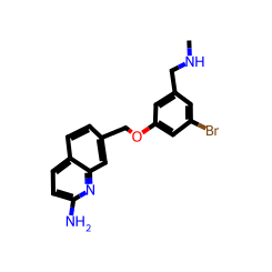 CNCc1cc(Br)cc(OCc2ccc3ccc(N)nc3c2)c1